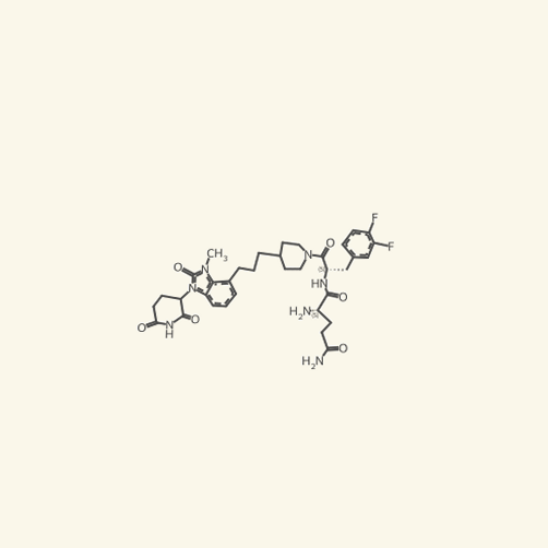 Cn1c(=O)n(C2CCC(=O)NC2=O)c2cccc(CCCC3CCN(C(=O)[C@H](Cc4ccc(F)c(F)c4)NC(=O)[C@@H](N)CCC(N)=O)CC3)c21